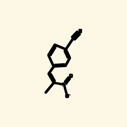 C/C(=C/c1ccc(C#N)cc1)[N+](=O)[O-]